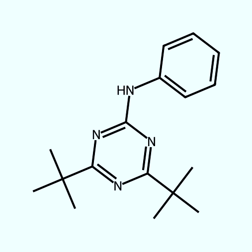 CC(C)(C)c1nc(Nc2ccccc2)nc(C(C)(C)C)n1